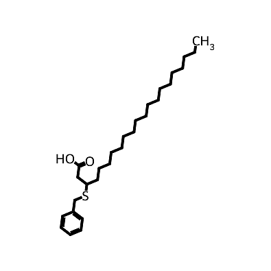 CCCCCCCCCCCCCCCCCCC(CC(=O)O)SCc1ccccc1